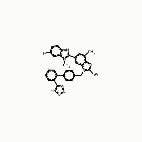 CCCc1nc2c(C)cc(-c3nc4ccc(F)cc4n3C)cc2n1Cc1ccc(-c2ccccc2-c2nnn[nH]2)cc1